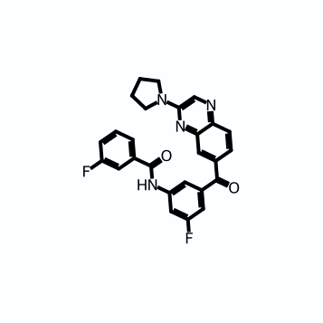 O=C(Nc1cc(F)cc(C(=O)c2ccc3ncc(N4CCCC4)nc3c2)c1)c1cccc(F)c1